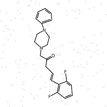 O=C(CC=Cc1c(F)cccc1F)CN1CCN(c2ccccc2)CC1